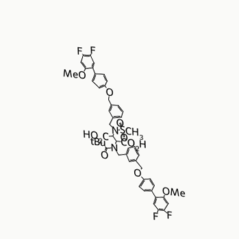 COc1cc(F)c(F)cc1-c1ccc(OCc2cccc(CN(C(=O)C(C)(C)C)C(C(=O)O)C(C(=O)O)N(Cc3cccc(COc4ccc(-c5cc(F)c(F)cc5OC)cc4)c3)S(C)(=O)=O)c2)cc1